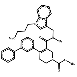 COCCCn1cc(CN(C(=O)C2=C(c3cccc(-c4ccccc4)c3)CCN(C(=O)OC(C)(C)C)C2)C(C)C)c2ccccc21